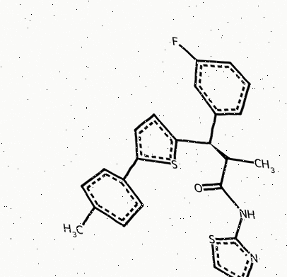 Cc1ccc(-c2ccc([C@@H](c3cccc(F)c3)C(C)C(=O)Nc3nncs3)s2)cc1